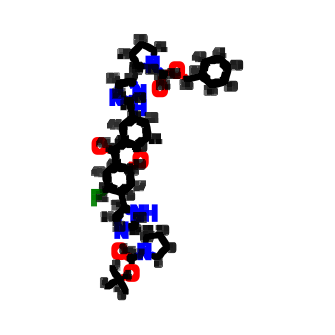 CC(C)(C)OC(=O)N1CCC[C@H]1c1ncc(-c2cc3oc4ccc(-c5ncc([C@@H]6CCCN6C(=O)OCc6ccccc6)[nH]5)cc4c(=O)c3cc2F)[nH]1